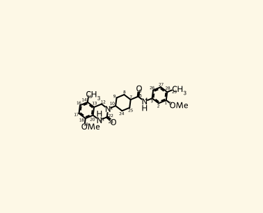 COc1cc(NC(=O)C2CCC(N3Cc4c(C)ccc(OC)c4NC3=O)CC2)ccc1C